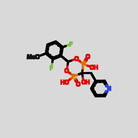 COc1ccc(F)c(C2OP(=O)(O)C(O)(Cc3cccnc3)P(=O)(O)O2)c1F